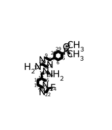 COP(C)c1ccc(-c2cnc(N)c(N(N)Cc3ccc4ncc(F)n4c3)n2)cc1